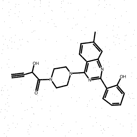 C#CC(O)C(=O)N1CCN(c2nc(-c3ccccc3O)nc3cc(C)ccc23)CC1